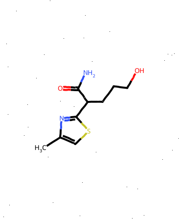 Cc1csc(C(CCCO)C(N)=O)n1